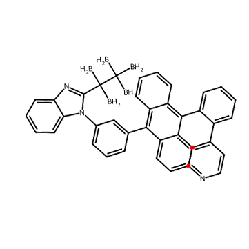 BC(B)(B)C(B)(B)c1nc2ccccc2n1-c1cccc(-c2c3ccccc3c(-c3ccccc3-c3ccncc3)c3ccccc23)c1